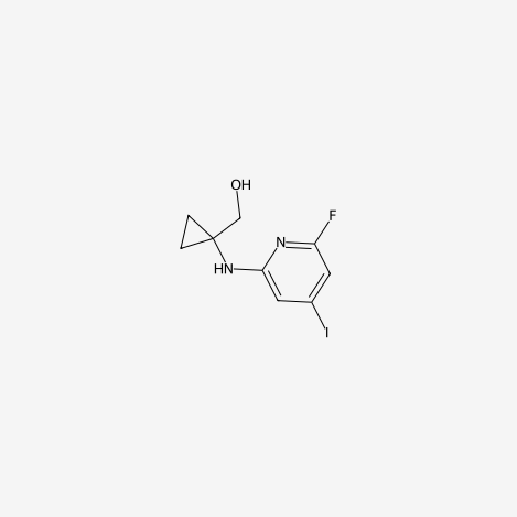 OCC1(Nc2cc(I)cc(F)n2)CC1